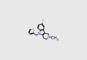 CN1CCc2c(c3cc(F)ccc3n2Cc2cccs2)C1